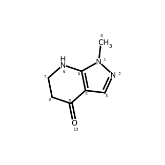 Cn1ncc2c1NCCC2=O